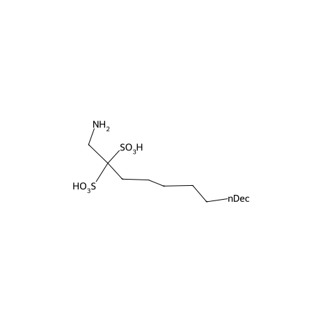 CCCCCCCCCCCCCCCC(CN)(S(=O)(=O)O)S(=O)(=O)O